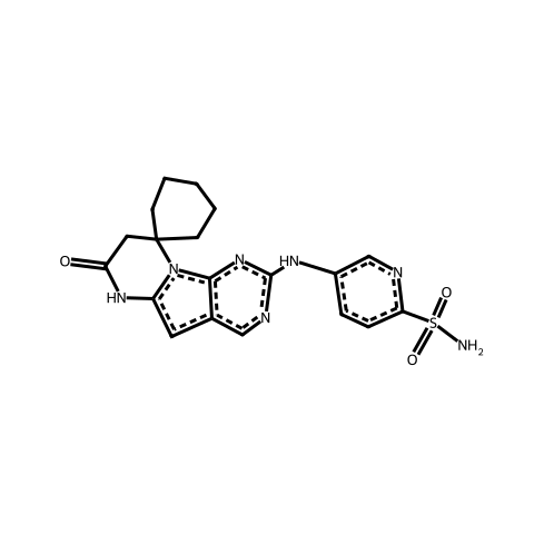 NS(=O)(=O)c1ccc(Nc2ncc3cc4n(c3n2)C2(CCCCC2)CC(=O)N4)cn1